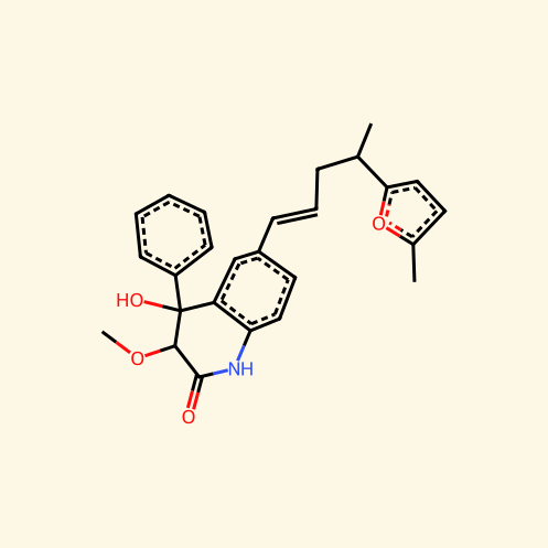 COC1C(=O)Nc2ccc(/C=C/CC(C)c3ccc(C)o3)cc2C1(O)c1ccccc1